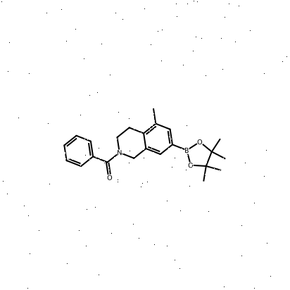 Cc1cc(B2OC(C)(C)C(C)(C)O2)cc2c1CCN(C(=O)c1ccccc1)C2